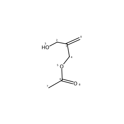 C=C(CO)COC(C)=O